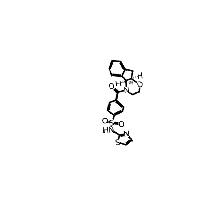 O=C(c1ccc(S(=O)(=O)Nc2nccs2)cc1)N1CCO[C@@H]2Cc3ccccc3[C@@H]21